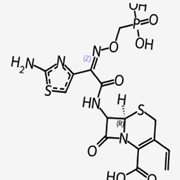 C=CC1=C(C(=O)O)N2C(=O)C(NC(=O)/C(=N\OCP(=O)(O)O)c3csc(N)n3)[C@H]2SC1